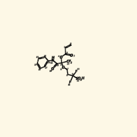 C=CC(=O)OC(OCCC(F)(F)S(=O)(=O)O)(C(=O)Nc1ccccc1)C(F)(F)F